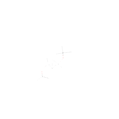 CC(C)O[SiH](C)C[Si](C)(C)OC(C)(C)C